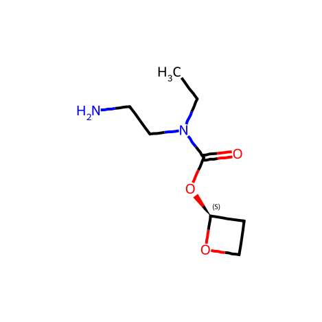 CCN(CCN)C(=O)O[C@H]1CCO1